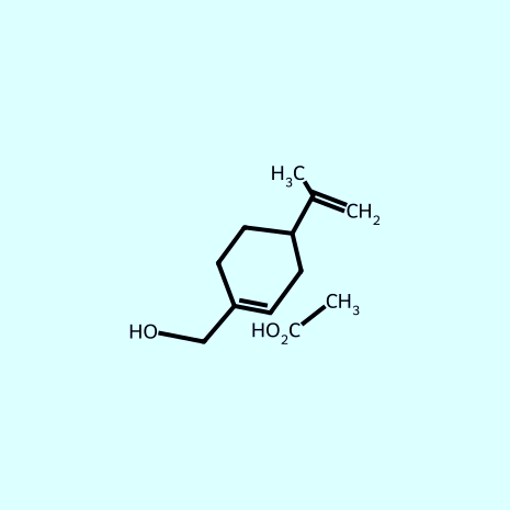 C=C(C)C1CC=C(CO)CC1.CC(=O)O